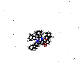 CC1(C)CCC(C)(C)c2cc(N3B4c5cc6c(cc5N(c5ccc7c(c5)C(C)(C)CCC7(C)C)c5c4c(cc4oc7ccccc7c54)-c4cc5c(cc43)-c3ccccc3C5(C)C)C(C)(C)CCC6(C)C)ccc21